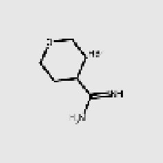 Br.N=C(N)C1CCOCC1